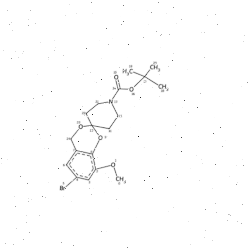 COc1cc(Br)cc2c1OC1(CCN(C(=O)OC(C)(C)C)CC1)OC2